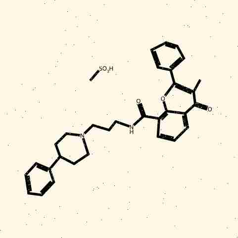 CS(=O)(=O)O.Cc1c(-c2ccccc2)oc2c(C(=O)NCCCN3CCC(c4ccccc4)CC3)cccc2c1=O